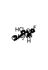 Cl.Nc1[nH]nc(-c2ccc(F)cc2)c1C(=O)c1cccc(OCCN2CCOCC2)c1